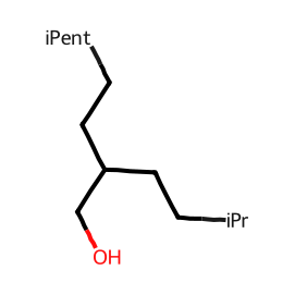 CCCC(C)CCC(CO)CCC(C)C